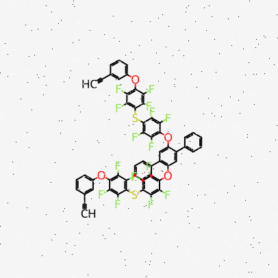 C#Cc1cccc(Oc2c(F)c(F)c(Sc3c(F)c(F)c(Oc4cc(-c5ccccc5)c(Oc5c(F)c(F)c(Sc6c(F)c(F)c(Oc7cccc(C#C)c7)c(F)c6F)c(F)c5F)cc4-c4ccccc4)c(F)c3F)c(F)c2F)c1